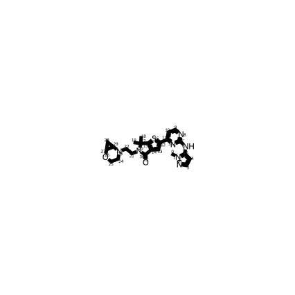 Cn1nccc1Nc1nccc(-c2cc3c(s2)C(C)(C)N(CCN2CCOC4CC42)C3=O)n1